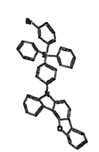 Brc1cccc([Si](c2ccccc2)(c2ccccc2)c2ccc(-n3c4ccccc4c4c5oc6ccccc6c5ccc43)cc2)c1